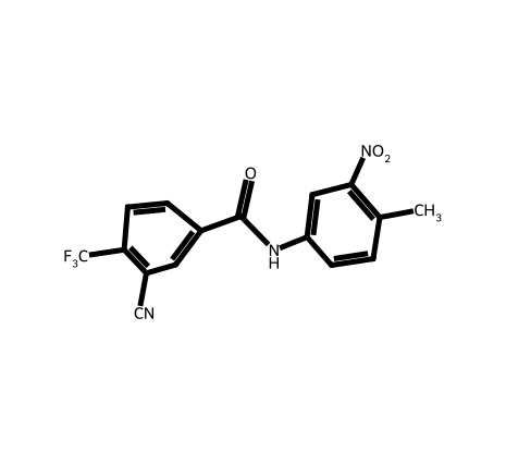 Cc1ccc(NC(=O)c2ccc(C(F)(F)F)c(C#N)c2)cc1[N+](=O)[O-]